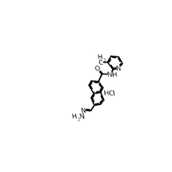 Cc1cccnc1NC(=O)c1ccc2cc(C=NN)ccc2c1.Cl